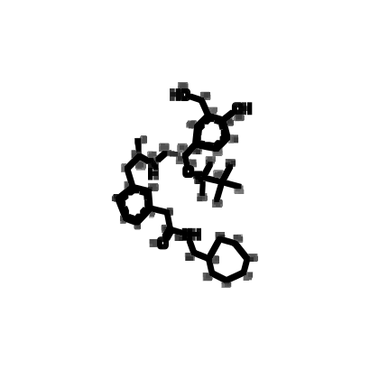 C[C@H](Cc1cccc(CC(=O)NCC2CCCCCC2)c1)NC[C@@H](O[Si](C)(C)C(C)(C)C)c1ccc(O)c(CO)c1